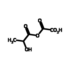 CC(O)C(=O)OC(=O)C(=O)O